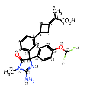 CC(C(=O)O)=C1CC(c2cccc(C3(c4ccc(OC(F)F)cc4)N=C(N)N(C)C3=O)c2)C1